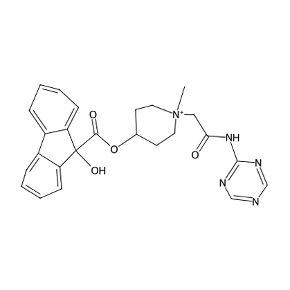 C[N+]1(CC(=O)Nc2ncncn2)CCC(OC(=O)C2(O)c3ccccc3-c3ccccc32)CC1